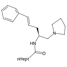 CCCCCCCC(=O)N[C@@H](C/C=C/c1ccccc1)CN1CCCC1